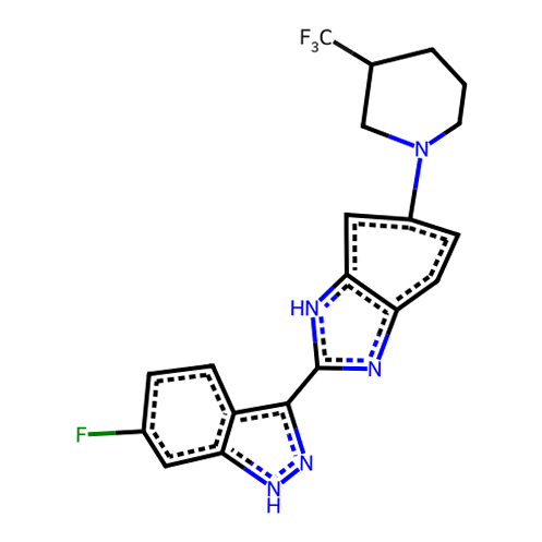 Fc1ccc2c(-c3nc4ccc(N5CCCC(C(F)(F)F)C5)cc4[nH]3)n[nH]c2c1